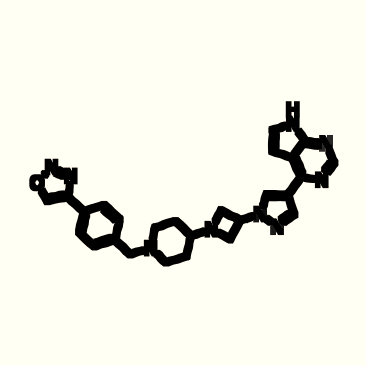 c1nc(-c2cnn([C]3CN(C4CCN(Cc5ccc(-c6conn6)cc5)CC4)C3)c2)c2cc[nH]c2n1